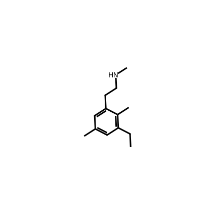 CCc1cc(C)cc(CCNC)c1C